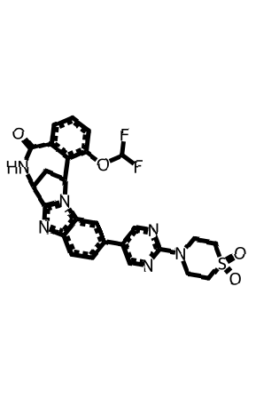 O=C1NC2CC(c3c(OC(F)F)cccc31)n1c2nc2ccc(-c3cnc(N4CCS(=O)(=O)CC4)nc3)cc21